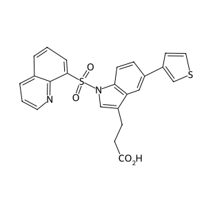 O=C(O)CCc1cn(S(=O)(=O)c2cccc3cccnc23)c2ccc(-c3ccsc3)cc12